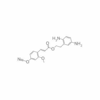 COc1cc(OC#N)ccc1/C=C/C(=O)OCCc1cc(N)ccc1N